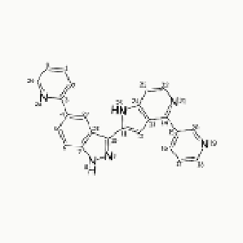 c1ccc(-c2ccc3[nH]nc(-c4cc5c(-c6cccnc6)nccc5[nH]4)c3c2)nc1